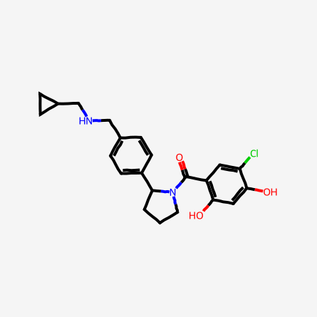 O=C(c1cc(Cl)c(O)cc1O)N1CCCC1c1ccc(CNCC2CC2)cc1